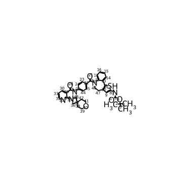 CC(C)(C)OC(=O)Nc1cc2c(s1)-c1ccccc1N(C(=O)c1ccc(NC(=O)c3cccnc3N3CC4(CCOCC4)C3)cc1)CC2